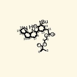 C=C(C)C(=O)OCCOC(=O)Cc1cc(-c2ccc3ccc4cccnc4c3n2)c(O)c(C(C)(C)C)c1